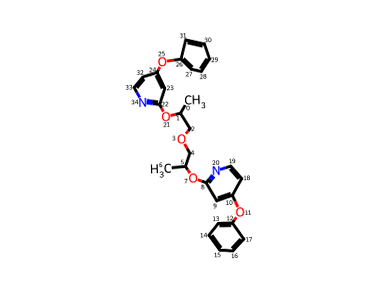 CC(COCC(C)Oc1cc(Oc2ccccc2)ccn1)Oc1cc(Oc2ccccc2)ccn1